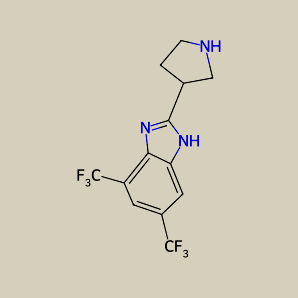 FC(F)(F)c1cc(C(F)(F)F)c2nc(C3CCNC3)[nH]c2c1